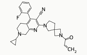 C=CC(=O)N1CC2(CCN(c3nc4c(c(-c5ccccc5F)c3C#N)CCN(C3CC3)C4)C2)C1